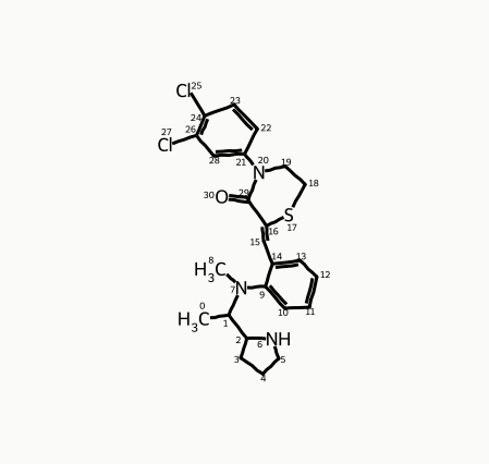 CC(C1CCCN1)N(C)c1ccccc1C=C1SCCN(c2ccc(Cl)c(Cl)c2)C1=O